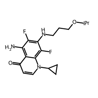 CC(C)OCCCNc1c(F)c(N)c2c(=O)ccn(C3CC3)c2c1F